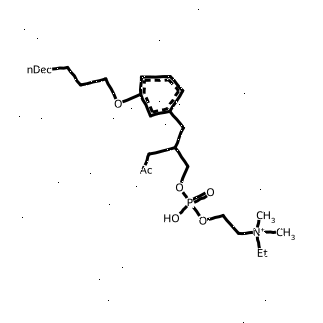 CCCCCCCCCCCCCOc1cccc(CC(COP(=O)(O)OCC[N+](C)(C)CC)CC(C)=O)c1